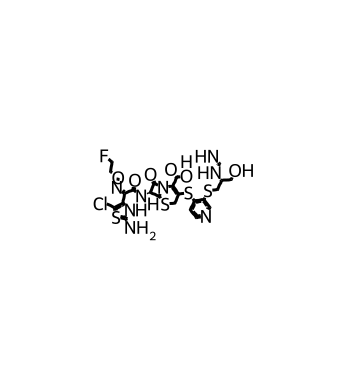 N=CNC(CO)CSc1cnccc1SC1=C(C(=O)O)N2C(=O)[C@@H](NC(=O)/C(=N\OCCF)c3nc(N)sc3Cl)[C@@H]2SC1